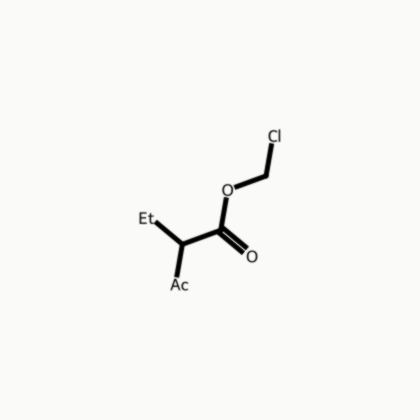 CCC(C(C)=O)C(=O)OCCl